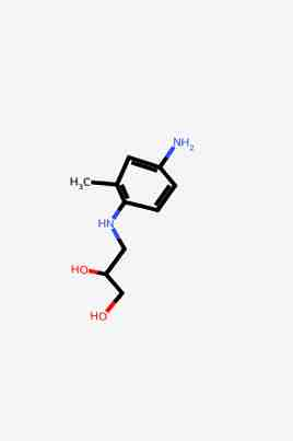 Cc1cc(N)ccc1NCC(O)CO